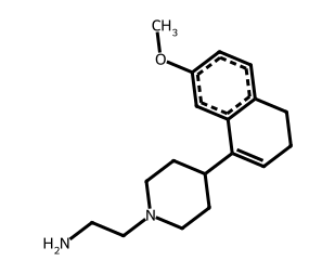 COc1ccc2c(c1)C(C1CCN(CCN)CC1)=CCC2